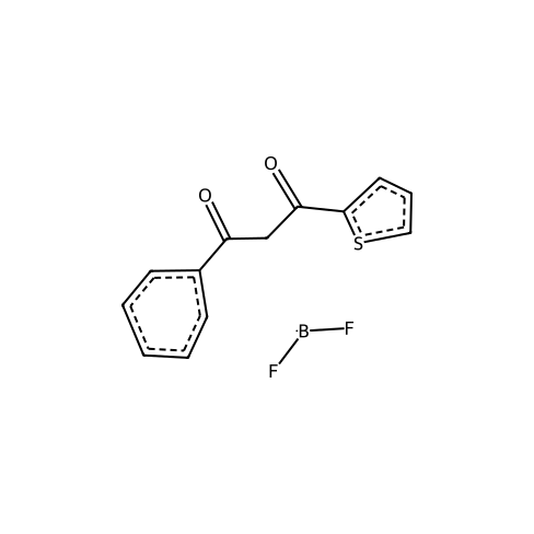 F[B]F.O=C(CC(=O)c1cccs1)c1ccccc1